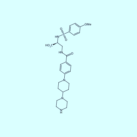 COc1ccc(S(=O)(=O)N[C@@H](CNC(=O)c2ccc(N3CCC(N4CCNCC4)CC3)cc2)C(=O)O)cc1